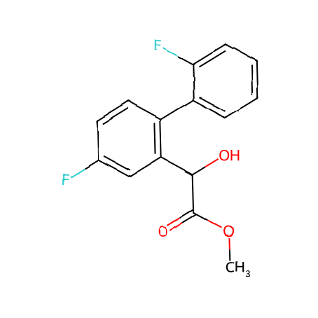 COC(=O)C(O)c1cc(F)ccc1-c1ccccc1F